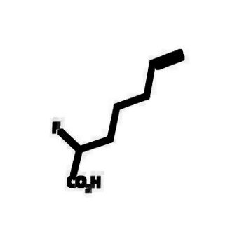 C=CCCCC(F)C(=O)O